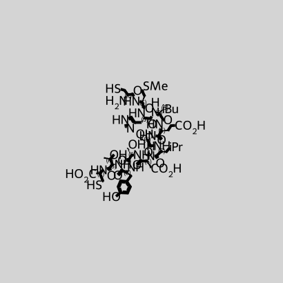 CC[C@H](C)[C@H](NC(=O)[C@H](Cc1c[nH]cn1)NC(=O)[C@H](CCSC)NC(=O)[C@@H](N)CS)C(=O)N[C@@H](CCC(=O)O)C(=O)N[C@@H](CO)C(=O)N[C@@H](CC(C)C)C(=O)N[C@@H](CC(=O)O)C(=O)N[C@@H](CO)C(=O)N[C@@H](Cc1ccc(O)cc1)C(=O)N[C@H](C(=O)N[C@@H](CS)C(=O)O)[C@@H](C)O